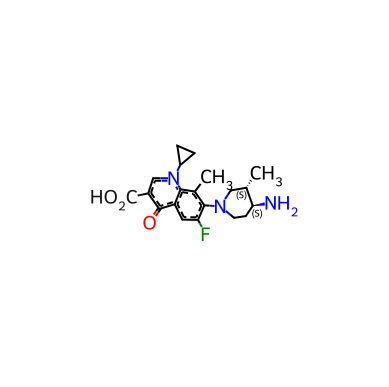 Cc1c(N2CC[C@H](N)[C@@H](C)C2)c(F)cc2c(=O)c(C(=O)O)cn(C3CC3)c12